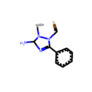 CNN1C(N)N=C(c2ccccc2)N1C=S